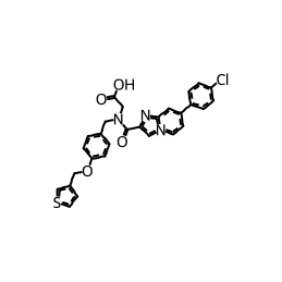 O=C(O)CN(Cc1ccc(OCc2ccsc2)cc1)C(=O)c1cn2ccc(-c3ccc(Cl)cc3)cc2n1